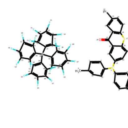 Cc1ccc([S+](c2ccc(C)cc2)c2ccc3sc4ccc(C(C)C)cc4c(=O)c3c2)cc1.Fc1c(F)c(F)c([B-](c2c(F)c(F)c(F)c(F)c2F)(c2c(F)c(F)c(F)c(F)c2F)c2c(F)c(F)c(F)c(F)c2F)c(F)c1F